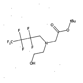 CC(C)(C)OC(=O)CN(CCO)CC(F)(F)C(F)(F)C(F)(F)F